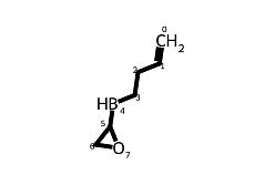 C=CCCBC1CO1